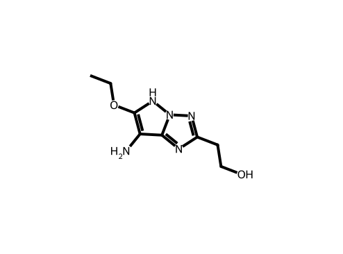 CCOc1[nH]n2nc(CCO)nc2c1N